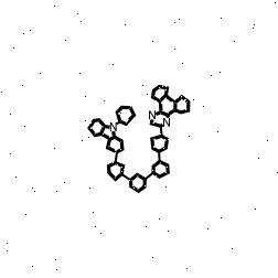 c1ccc(-n2c3ccccc3c3cc(-c4cccc(-c5cccc(-c6cccc(-c7ccc(-c8cnc9c%10ccccc%10c%10ccccc%10c9n8)cc7)c6)c5)c4)ccc32)cc1